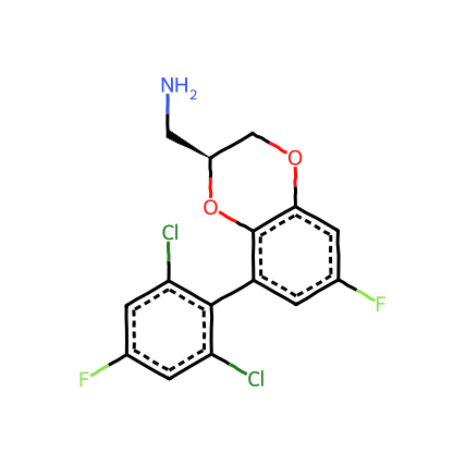 NC[C@H]1COc2cc(F)cc(-c3c(Cl)cc(F)cc3Cl)c2O1